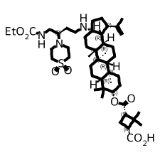 C=C(C)[C@@H]1CC[C@]2(NCC[C@H](CNC(=O)OCC)N3CCS(=O)(=O)CC3)CC[C@]3(C)[C@H](CC[C@@H]4[C@@]5(C)CC[C@H](OC(=O)[C@H]6C[C@@H](C(=O)O)C6(C)C)C(C)(C)[C@@H]5CC[C@]43C)[C@@H]12